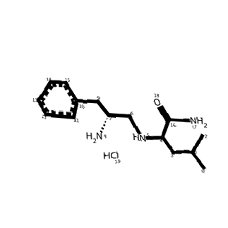 CC(C)CC(NC[C@H](N)Cc1ccccc1)C(N)=O.Cl